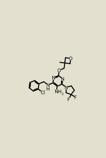 CC1(COc2nc(NCc3ccccc3Cl)c(N)c(N3CCC(F)(F)C3)n2)COC1